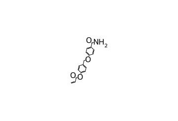 C=CC(=O)Oc1ccc(COc2ccc(C(N)=O)cc2)cc1